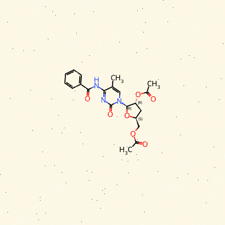 CC(=O)OC[C@@H]1C[C@@H](OC(C)=O)[C@H](n2cc(C)c(NC(=O)c3ccccc3)nc2=O)O1